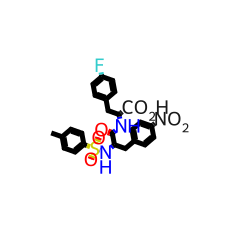 Cc1ccc(S(=O)(=O)NC(Cc2ccc([N+](=O)[O-])cc2)C(=O)NC(Cc2ccc(F)cc2)C(=O)O)cc1